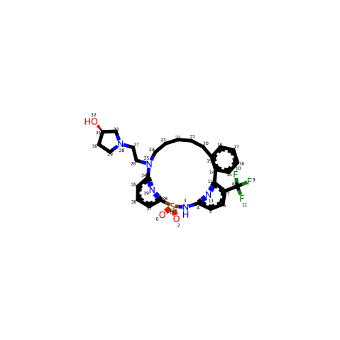 O=S1(=O)Nc2ccc(C(F)(F)F)c(n2)-c2ccccc2CCCCCN(CCN2CC[C@@H](O)C2)c2cccc1n2